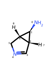 N[C@H]1[C@@H]2C=NC[C@H]12